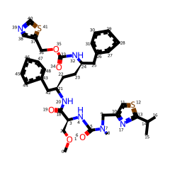 COC[C@H](NC(=O)N(C)Cc1csc(C(C)C)n1)C(=O)N[C@H](CC[C@H](Cc1ccccc1)NC(=O)OCc1cncs1)Cc1ccccc1